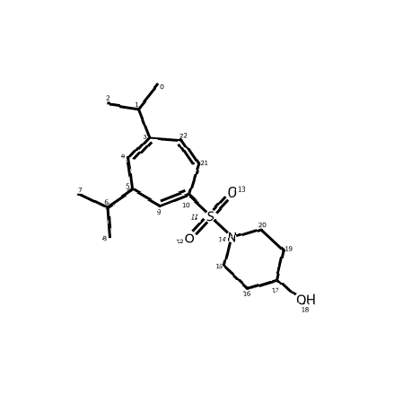 CC(C)C1=CC(C(C)C)C=C(S(=O)(=O)N2CCC(O)CC2)C=C1